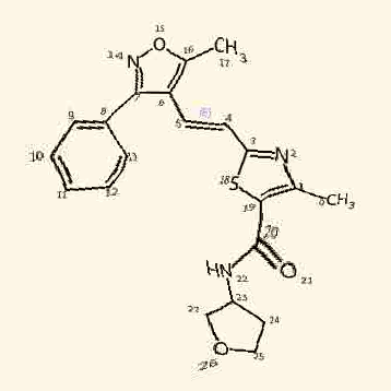 Cc1nc(/C=C/c2c(-c3ccccc3)noc2C)sc1C(=O)NC1CCOC1